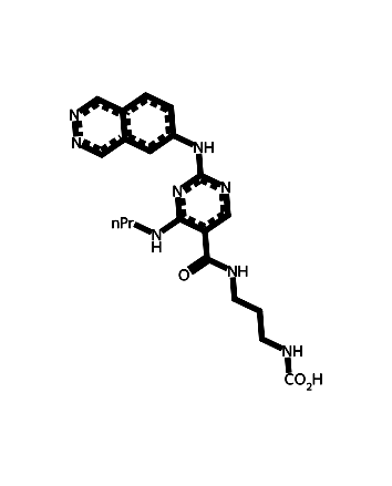 CCCNc1nc(Nc2ccc3cnncc3c2)ncc1C(=O)NCCCNC(=O)O